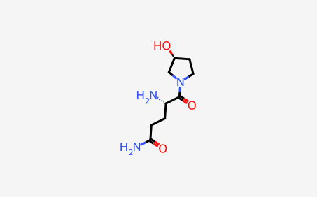 NC(=O)CC[C@H](N)C(=O)N1CC[C@H](O)C1